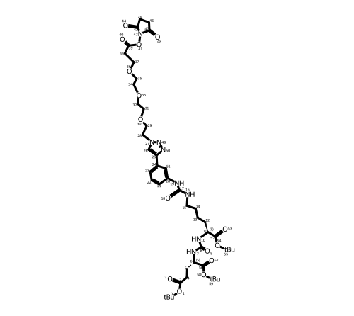 CC(C)(C)OC(=O)CC[C@H](NC(=O)N[C@@H](CCCCNC(=O)Nc1cccc(-c2cn(CCOCCOCCOCCC(=O)ON3C(=O)CCC3=O)nn2)c1)C(=O)OC(C)(C)C)C(=O)OC(C)(C)C